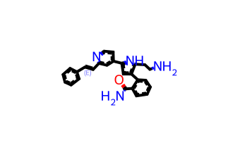 NCCc1[nH]c(-c2ccnc(/C=C/c3ccccc3)c2)cc1-c1ccccc1C(N)=O